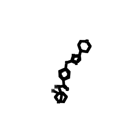 O=C(N[C@H]1CN2CCC1CC2)c1ccc(Sc2nc(N3CCOCC3)cs2)cc1